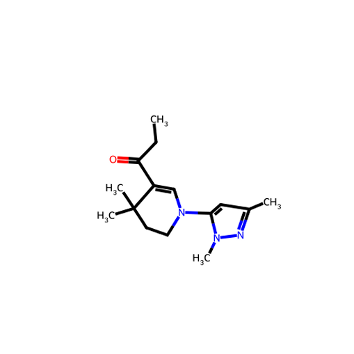 CCC(=O)C1=CN(c2cc(C)nn2C)CCC1(C)C